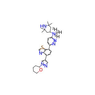 [2H]C([2H])([2H])N(c1ccc(-c2ccc(-c3cnn(C4CCCCO4)c3)c3ncsc23)nn1)C1CC(C)(C)NC(C)(C)C1